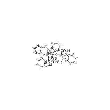 CCNC(=O)NC1(C2CNCCC2(Cc2ccccc2)C(=O)O)N=CC=CN1c1cc(-c2ccccn2)c2scnc2c1